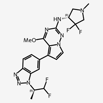 COc1nc(N[C@@H]2CN(C)CC2(F)F)nn2ccc(-c3ccc4nnn([C@H](C)C(F)F)c4c3)c12